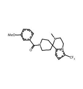 COc1cccc(C(=O)N2CCC3(CC2)c2ccc(C(F)(F)F)n2CCN3C)c1